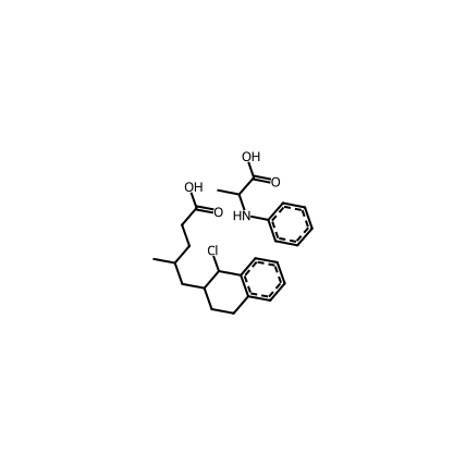 CC(CCC(=O)O)CC1CCc2ccccc2C1Cl.CC(Nc1ccccc1)C(=O)O